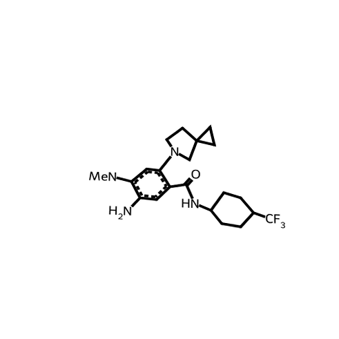 CNc1cc(N2CCC3(CC3)C2)c(C(=O)NC2CCC(C(F)(F)F)CC2)cc1N